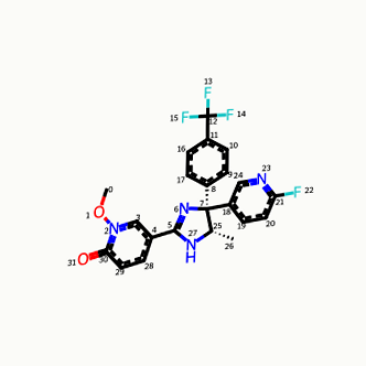 COn1cc(C2=N[C@@](c3ccc(C(F)(F)F)cc3)(c3ccc(F)nc3)[C@H](C)N2)ccc1=O